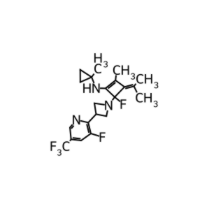 CC(C)=C1C(C)=C(NC2(C)CC2)C1(F)N1CC(c2ncc(C(F)(F)F)cc2F)C1